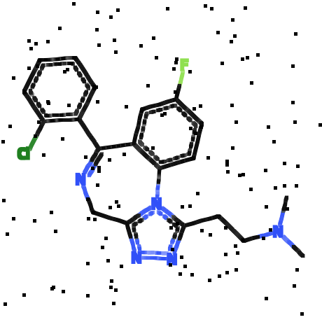 CN(C)CCc1nnc2n1-c1ccc(F)cc1C(c1ccccc1Cl)=NC2